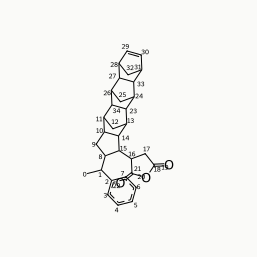 CC(c1ccccc1)C1CC2C3CC(C2C1C1CC(=O)OC1=O)C1C2CC(C4C5C=CC(C5)C24)C31